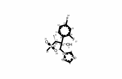 C[C@H]([C@](O)(Cn1cncn1)c1ccc(F)cc1F)S(C)(=O)=O